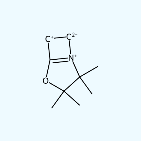 CC1(C)OC2=[N+]([C-2][CH+]2)C1(C)C